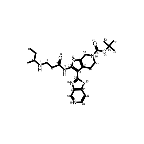 CCC(C)NCCC(=O)Nc1sc2c(c1-c1nc3cnccc3s1)CCN(C(=O)OC(C)(C)C)C2